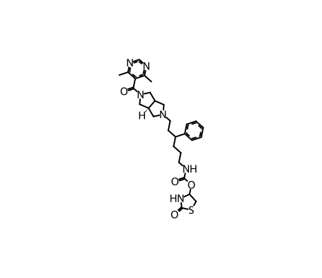 Cc1ncnc(C)c1C(=O)N1CC2CN(CCC(CCCNC(=O)OC3CSC(=O)N3)c3ccccc3)C[C@H]2C1